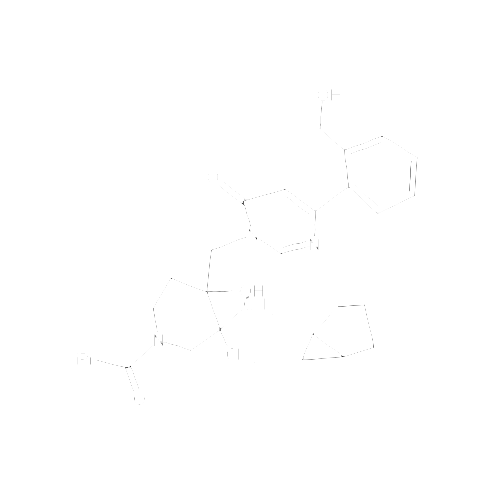 C1CC2CC2C1.CC(C)C(=O)N1CCC(O)(Cn2cnc(-c3ccccc3CO)cc2=O)C(C)(C)C1